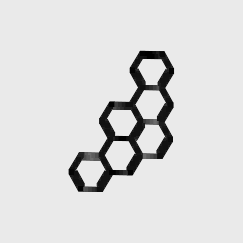 c1ccc2c(c1)cc1ccc3cc4ccccc4c4ccc2c1c34